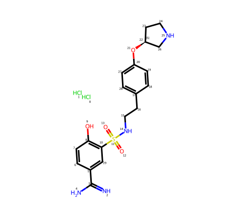 Cl.Cl.N=C(N)c1ccc(O)c(S(=O)(=O)NCCc2ccc(O[C@H]3CCNC3)cc2)c1